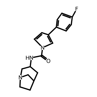 O=C(NC1CC2CCN(C2)C1)n1ccc(-c2ccc(F)cc2)c1